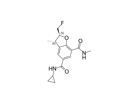 CNC(=O)c1cc(C(=O)NC2CC2)cc2c1O[C@H](CF)[C@H]2C